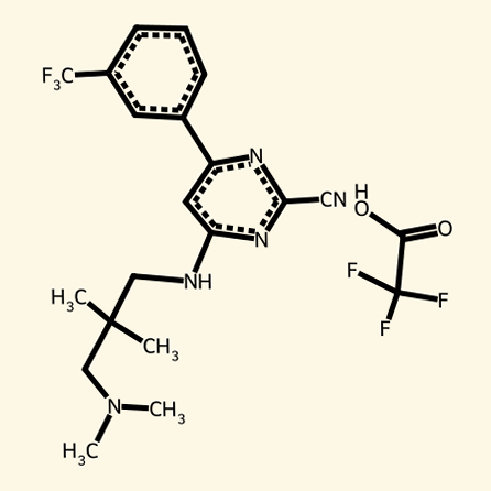 CN(C)CC(C)(C)CNc1cc(-c2cccc(C(F)(F)F)c2)nc(C#N)n1.O=C(O)C(F)(F)F